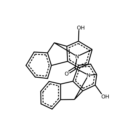 O=C(N1c2ccc3c(c2O)C1c1ccccc1-3)N1c2ccc3c(c2O)C1c1ccccc1-3